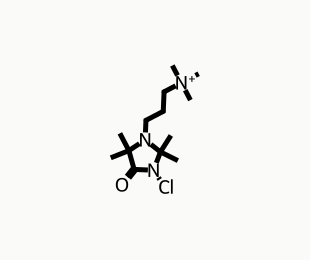 CC1(C)C(=O)N(Cl)C(C)(C)N1CCC[N+](C)(C)C